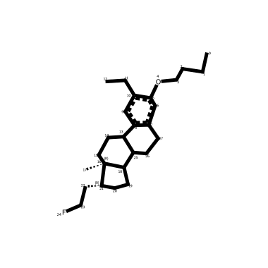 CCCCOc1cc2c(cc1CC)C1CC[C@@]3(C)C(CC[C@@H]3CCF)C1CC2